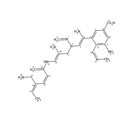 C=NN(/C=C(\N)c1cc(C(=O)O)cc(N)c1/C=N\C)C/C(N)=C/NC(=C)/C=C\C(=C/C)CN